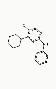 [O-][n+]1cnc(Nc2ccccc2)nc1N1CCCCC1